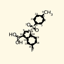 Cc1ccc(S(=O)(=O)n2cc(B(O)O)c3cc(F)ccc32)cc1